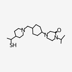 CC(S)C1CCN(CC2CCC(N3CCN(C(C)C)C(=O)C3)CC2)CC1